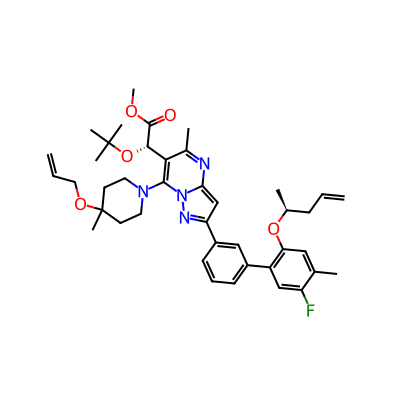 C=CCOC1(C)CCN(c2c([C@H](OC(C)(C)C)C(=O)OC)c(C)nc3cc(-c4cccc(-c5cc(F)c(C)cc5O[C@@H](C)CC=C)c4)nn23)CC1